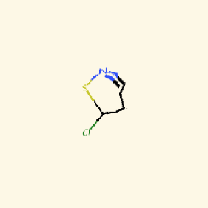 ClC1[C]C=NS1